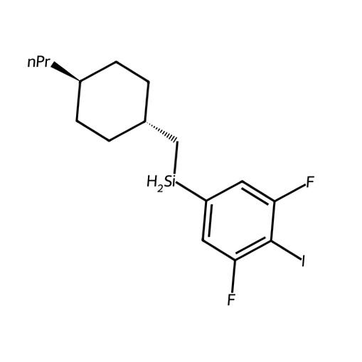 CCC[C@H]1CC[C@H](C[SiH2]c2cc(F)c(I)c(F)c2)CC1